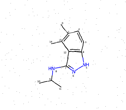 Cc1ccc2[nH]nc(NC(C)C)c2c1C